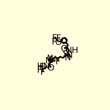 O=C(Cc1cccc(OC(F)(F)F)c1)Nc1nnc(CCC(F)Cn2cc(C(=O)NCC(F)(F)F)nn2)s1